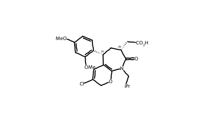 COc1ccc([C@@H]2C[C@H](CC(=O)O)C(=O)N(CC(C)C)C3=C2C=C(Cl)CO3)c(OC)c1